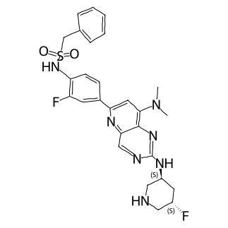 CN(C)c1cc(-c2ccc(NS(=O)(=O)Cc3ccccc3)c(F)c2)nc2cnc(N[C@@H]3CNC[C@@H](F)C3)nc12